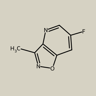 Cc1noc2cc(F)cnc12